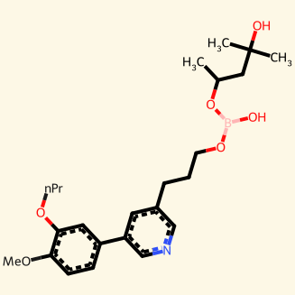 CCCOc1cc(-c2cncc(CCCOB(O)OC(C)CC(C)(C)O)c2)ccc1OC